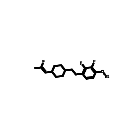 CCOc1ccc(CCC2CCC(/C=C(/C)F)CC2)c(F)c1F